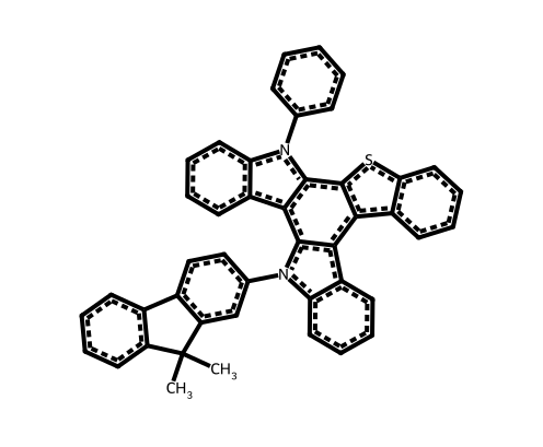 CC1(C)c2ccccc2-c2ccc(-n3c4ccccc4c4c5c6ccccc6sc5c5c(c6ccccc6n5-c5ccccc5)c43)cc21